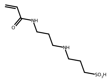 C=CC(=O)NCCCNCCCS(=O)(=O)O